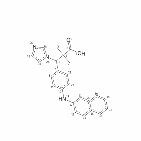 CC(C)(C(=O)O)C(c1ccc(Nc2ccc3ccccc3c2)cc1)n1ccnc1